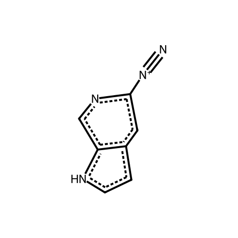 N#[N+]c1cc2cc[nH]c2cn1